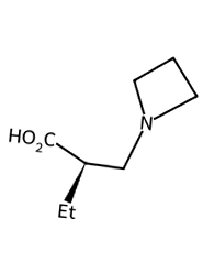 CC[C@H](CN1CCC1)C(=O)O